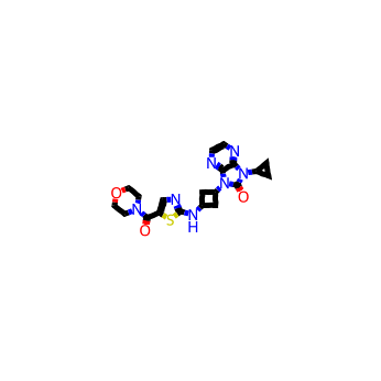 O=C(c1cnc(NC2CC(n3c(=O)n(C4CC4)c4nccnc43)C2)s1)N1CCOCC1